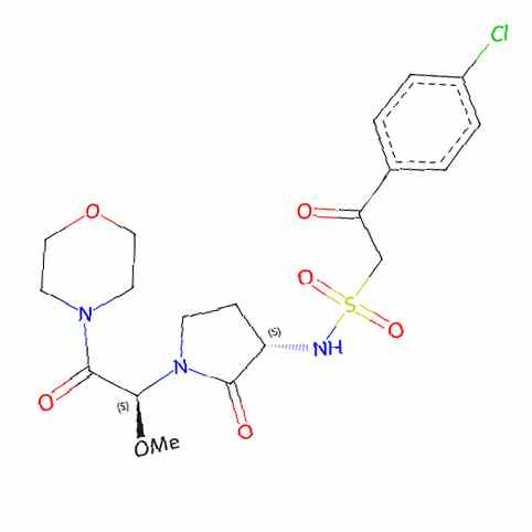 CO[C@@H](C(=O)N1CCOCC1)N1CC[C@H](NS(=O)(=O)CC(=O)c2ccc(Cl)cc2)C1=O